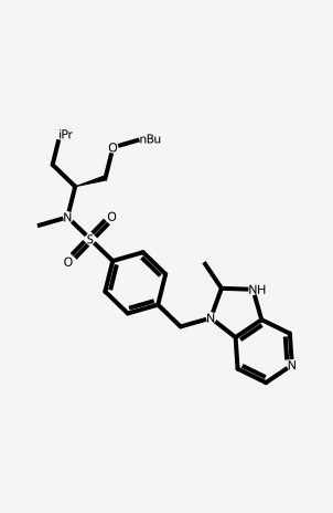 CCCCOC[C@H](CC(C)C)N(C)S(=O)(=O)c1ccc(CN2c3ccncc3NC2C)cc1